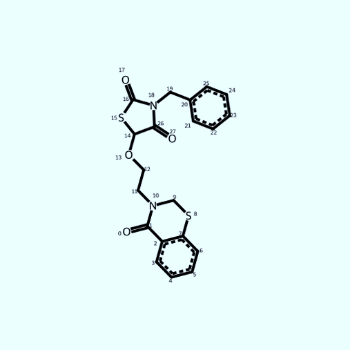 O=C1c2ccccc2SCN1CCOC1SC(=O)N(Cc2ccccc2)C1=O